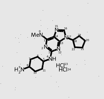 CNc1nc(NC2CCC(N)CC2)nc2c1ncn2C1CCCC1.Cl.Cl